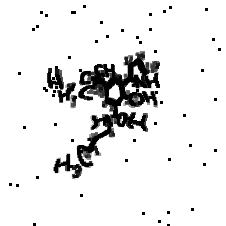 CCCCNC(O)c1cc(C(C)(C)C)cc(-c2ccc[nH]2)c1O